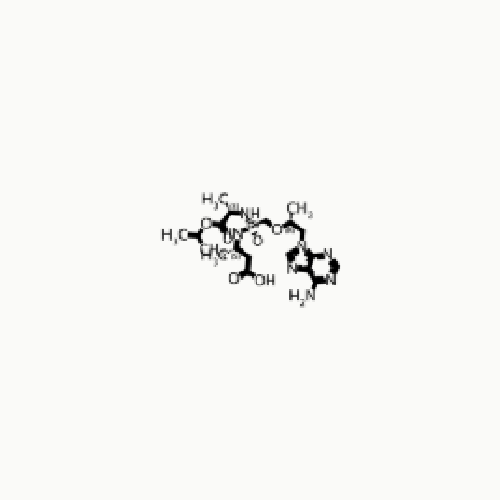 CC(C)OC(=O)[C@H](C)N[P@@](=O)(CO[C@H](C)Cn1cnc2c(N)ncnc21)N[C@@H](C)CC(=O)O